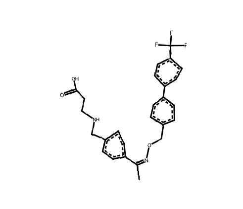 CC(=NOCc1ccc(-c2ccc(C(F)(F)F)cc2)cc1)c1ccc(CNCCC(=O)O)cc1